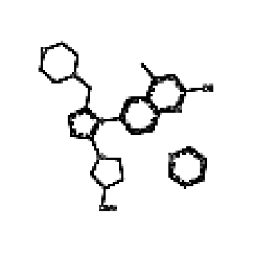 COC1CCN(c2ccc(CN3CCOCC3)n2-c2ccc3nc(O)cc(C)c3c2)C1.c1ccncc1